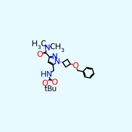 CN(C)C(=O)c1cc(CNC(=O)OC(C)(C)C)n([C@H]2C[C@H](OCc3ccccc3)C2)n1